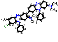 Cc1cc2nc3cc(-c4ccc5nc6ccc(N(C)C)cc6[n+](-c6ccccc6)c5c4)c(N(C)C)cc3[n+](-c3ccccc3)c2cc1Cl